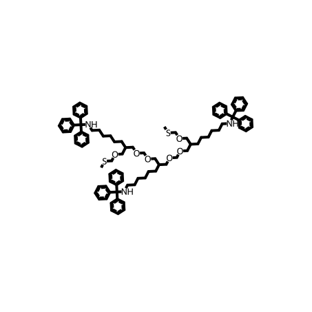 CSCOCC(CCCCCCNC(c1ccccc1)(c1ccccc1)c1ccccc1)COCOCC(CCCCCCNC(c1ccccc1)(c1ccccc1)c1ccccc1)COCOCC(CCCCCCNC(c1ccccc1)(c1ccccc1)c1ccccc1)COCSC